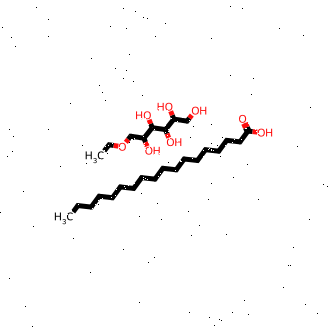 CCCCCCCCCCCCCCCCCC(=O)O.CCOCC(O)C(O)C(O)C(O)CO